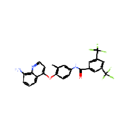 Cc1cc(NC(=O)c2cc(C(F)(F)F)cc(C(F)(F)F)c2)ccc1Oc1ccnc2c(N)cccc12